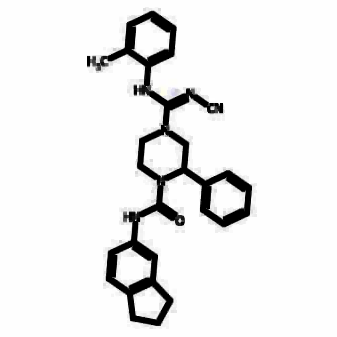 Cc1ccccc1N/C(=N/C#N)N1CCN(C(=O)Nc2ccc3c(c2)CCC3)C(c2ccccc2)C1